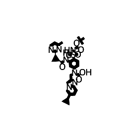 Cc1ccnc([C@H]2C[C@@H]2C(=O)Nc2cc(N(Cc3cn4cc(C5CC5)ccc4n3)C(=O)O)ccc2S(=O)(=O)NC(=O)OC(C)(C)C)n1